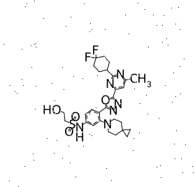 Cc1cc(-c2nnc(-c3ccc(NS(=O)(=O)CCO)cc3N3CCC4(CC3)CC4)o2)nc(C2CCC(F)(F)CC2)n1